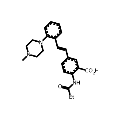 CCC(=O)Nc1ccc(/C=C/c2ccccc2N2CCN(C)CC2)cc1C(=O)O